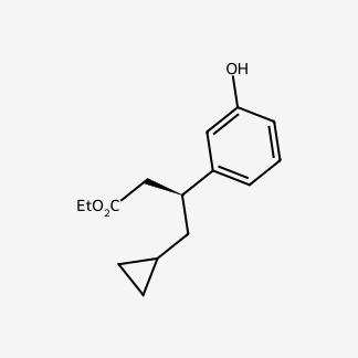 CCOC(=O)C[C@H](CC1CC1)c1cccc(O)c1